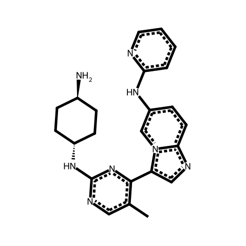 Cc1cnc(N[C@H]2CC[C@H](N)CC2)nc1-c1cnc2ccc(Nc3ccccn3)cn12